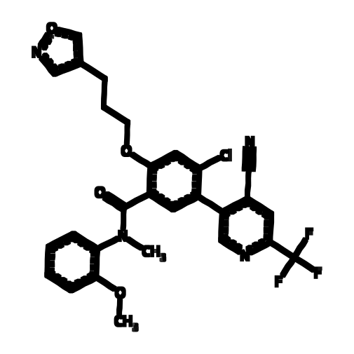 COc1ccccc1N(C)C(=O)c1cc(-c2cnc(C(F)(F)F)cc2C#N)c(Cl)cc1OCCCc1cnoc1